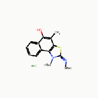 CCCCCC/N=c1/sc2c(C)c(O)c3ccccc3c2n1CCCCCC.Cl